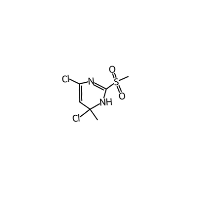 CC1(Cl)C=C(Cl)N=C(S(C)(=O)=O)N1